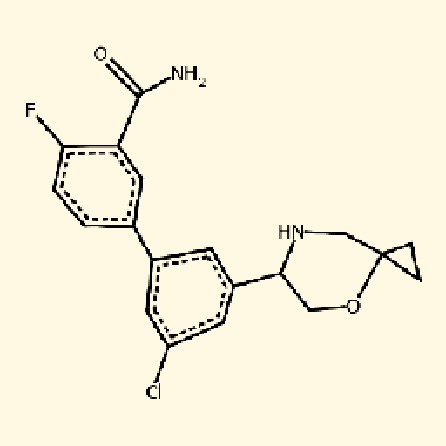 NC(=O)c1cc(-c2cc(Cl)cc(C3COC4(CC4)CN3)c2)ccc1F